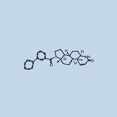 C[C@]12C=CC(=O)N[C@@H]1CC[C@@H]1[C@@H]2CC[C@]2(C)[C@@H](C(=O)c3cccc(-c4ccccc4)c3)CC[C@@H]12